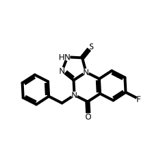 O=c1c2cc(F)ccc2n2c(=S)[nH]nc2n1Cc1ccccc1